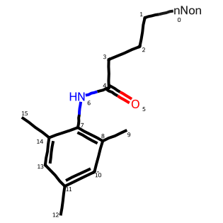 CCCCCCCCCCCCC(=O)Nc1c(C)[c]c(C)cc1C